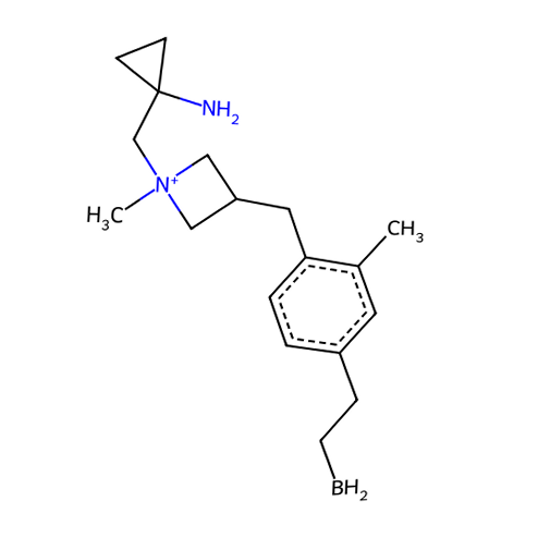 BCCc1ccc(CC2C[N+](C)(CC3(N)CC3)C2)c(C)c1